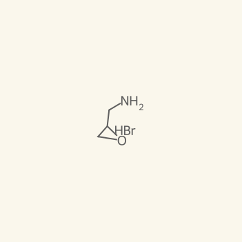 Br.NCC1CO1